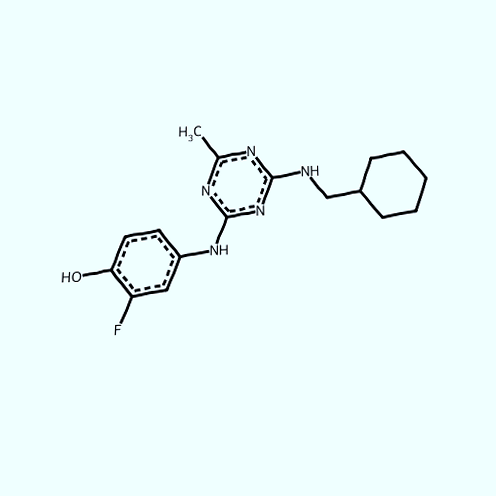 Cc1nc(NCC2CCCCC2)nc(Nc2ccc(O)c(F)c2)n1